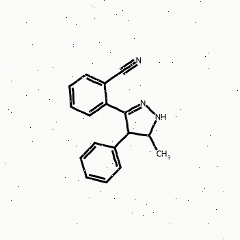 CC1NN=C(c2ccccc2C#N)C1c1ccccc1